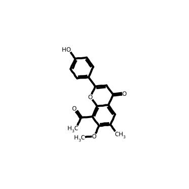 COc1c(C)cc2c(=O)cc(-c3ccc(O)cc3)oc2c1C(C)=O